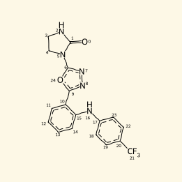 O=C1NCCN1c1nnc(-c2ccccc2Nc2ccc(C(F)(F)F)cc2)o1